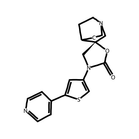 O=C1O[C@]2(CN3CCC2CC3)CN1c1csc(-c2ccncc2)c1